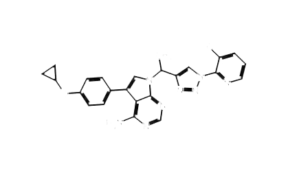 CC(c1cn(-c2ncccc2F)nn1)n1cc(-c2ccc(OC3CC3)cc2)c2c(N)ncnc21